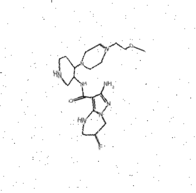 COCCN1CCN(C2CCNCC2NC(=O)c2c(N)nn3c2NCC(F)C3)CC1